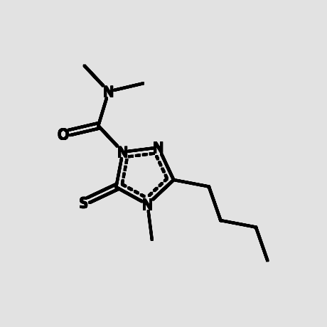 CCCCc1nn(C(=O)N(C)C)c(=S)n1C